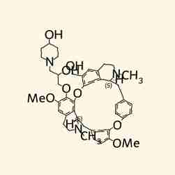 COc1ccc2cc1Oc1ccc(cc1)C[C@H]1c3cc(c(CO)cc3CCN1C)Oc1c(OCC(O)CN3CCC(O)CC3)c(OC)cc3c1[C@H](C2)N(C)CC3